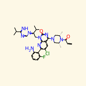 C=CC(=O)N1[C@H](C)CN(c2nc(=O)n(C/C(=N\C=N/C(=N)C(C)C)C(C)C)c3nc(-c4c(N)cccc4F)c(Cl)cc23)C[C@@H]1C